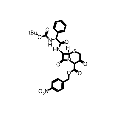 CC(C)(C)OC(=O)N[C@H](C(=O)NC1C(=O)N2C(C(=O)OCc3ccc([N+](=O)[O-])cc3)C(=O)CS[C@@H]12)c1ccccc1